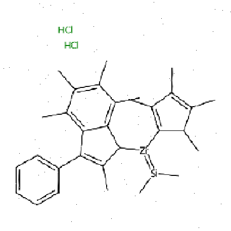 CC1=C(C)C(C)[C]([Zr]([CH]2C(C)=C(c3ccccc3)c3c(C)c(C)c(C)c(C)c32)=[Si](C)C)=C1C.Cl.Cl